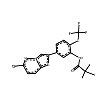 CC(C)(C)C(=O)Nc1cc(-c2cn3nc(Cl)ccc3n2)ccc1OC(F)(F)F